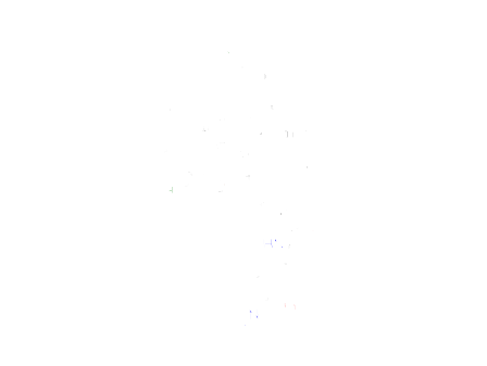 CCC[C@H](c1ccc(C(=O)NCCC(N)=O)cc1)C(c1ccc(Cl)cc1)c1csc2c(Br)cc(C)cc12